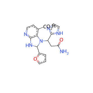 NC(=O)CC(c1ncc[nH]1)N1c2c(C(=O)O)ccnc2NC1c1ccco1